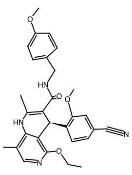 CCOc1ncc(C)c2c1[C@H](c1ccc(C#N)cc1OC)C(C(=O)NCc1ccc(OC)cc1)=C(C)N2